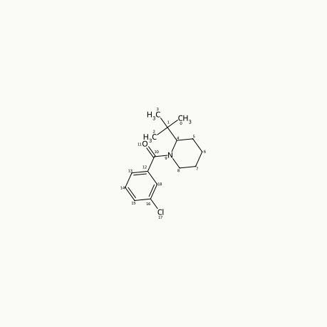 CC(C)(C)C1CCCCN1C(=O)c1cccc(Cl)c1